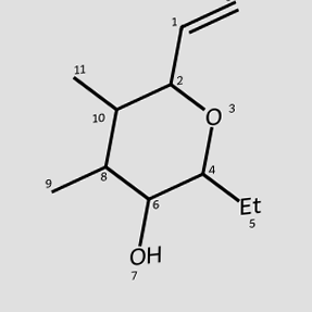 C=CC1OC(CC)C(O)C(C)C1C